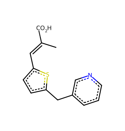 CC(=Cc1ccc(Cc2cccnc2)s1)C(=O)O